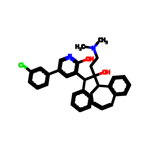 CN(C)CCC(O)(C1CC=C=Cc2ccccc21)C(c1ccccc1)c1cc(-c2cccc(Cl)c2)cnc1O